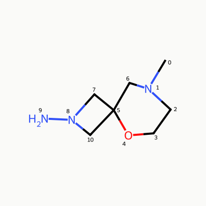 CN1CCOC2(C1)CN(N)C2